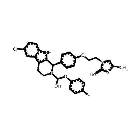 Cc1cn(CCOc2ccc(C3c4[nH]c5ccc(Cl)cc5c4CCN3C(O)Oc3ccc(F)cc3)cc2)c(=N)s1